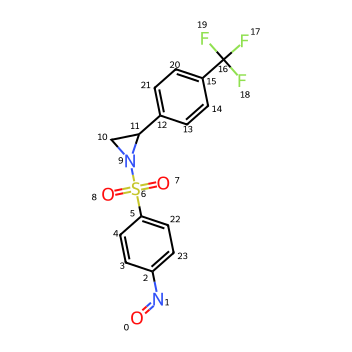 O=Nc1ccc(S(=O)(=O)N2CC2c2ccc(C(F)(F)F)cc2)cc1